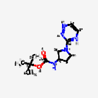 CC(C)(C)OC(=O)NC1CCN(c2nccnn2)C1